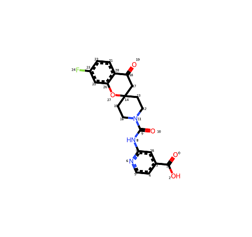 O=C(O)c1ccnc(NC(=O)N2CCC3(CC2)CC(=O)c2ccc(F)cc2O3)c1